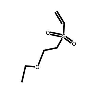 C=CS(=O)(=O)CCOCC